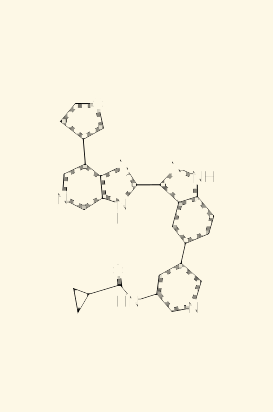 O=C(Nc1cncc(-c2ccc3[nH]nc(-c4nc5c(-c6ccoc6)cncc5[nH]4)c3c2)c1)C1CC1